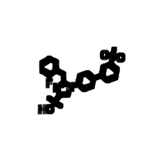 CC(C)(O)c1cn(-c2ccc(-c3cccc(S(C)(=O)=O)c3)cc2)c(Cc2ccccc2F)n1